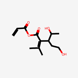 C=CC(=O)OC(=O)C(=C(C)C)C(CCO)C(C)O